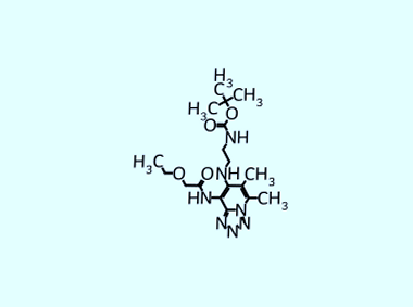 CCOCC(=O)Nc1c(NCCNC(=O)OC(C)(C)C)c(C)c(C)n2nnnc12